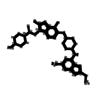 Cc1c(CN2CCC(Nc3nc(N)nc4sc(CC(F)(F)F)cc34)CC2)ccc2c1cc(C)n2C[C@H](C)N1CCN(C(C)C)CC1